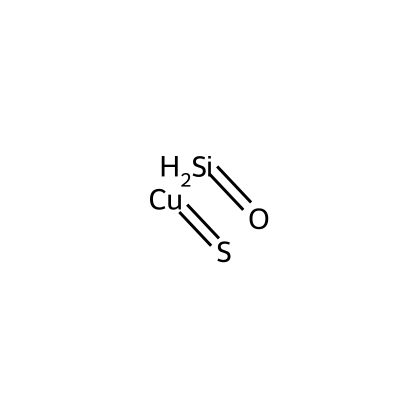 O=[SiH2].[S]=[Cu]